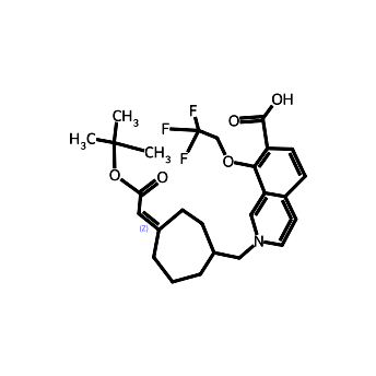 CC(C)(C)OC(=O)/C=C1/CCCC(CN2C=C=c3ccc(C(=O)O)c(OCC(F)(F)F)c3=C2)CC1